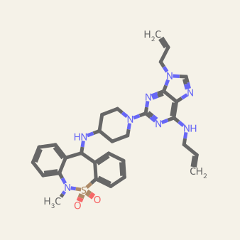 C=CCNc1nc(N2CCC(NC3c4ccccc4N(C)S(=O)(=O)c4ccccc43)CC2)nc2c1ncn2CC=C